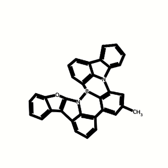 Cc1cc2c3c(c1)-n1c4ccccc4c4cccc(c41)B3n1c3oc4ccccc4c3c3cccc-2c31